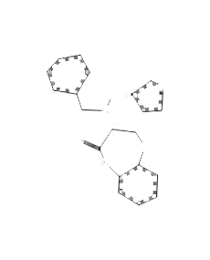 O=C1Nc2ccccc2S[C@@H](c2ccoc2)[C@H]1N(Cc1ccccc1)C(=O)O